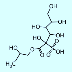 CC(O)COC(=O)C(O)(C(O)C(O)C(O)CO)S(=O)(=O)O